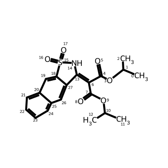 CC(C)OC(=O)C(C(=O)OC(C)C)=C1NS(=O)(=O)c2cc3ccccc3cc21